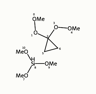 COOC1(OOC)CC1.CO[SiH](OC)OC